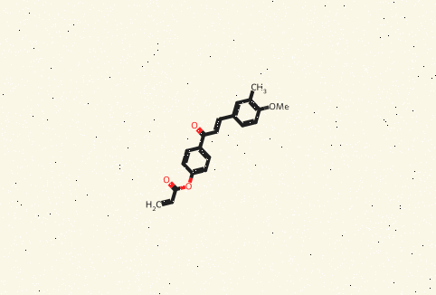 C=CC(=O)Oc1ccc(C(=O)/C=C/c2ccc(OC)c(C)c2)cc1